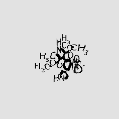 C1=CNC=CC1.CCOC(=O)C1=C(C)NC(C)=C(C(=O)OC)C1c1cccc([N+](=O)[O-])c1